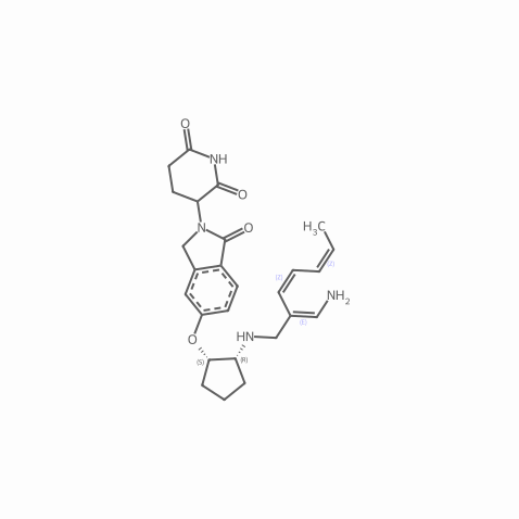 C\C=C/C=C\C(=C/N)CN[C@@H]1CCC[C@@H]1Oc1ccc2c(c1)CN(C1CCC(=O)NC1=O)C2=O